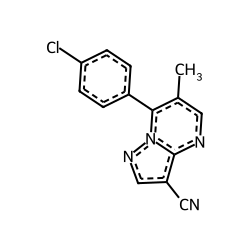 Cc1cnc2c(C#N)cnn2c1-c1ccc(Cl)cc1